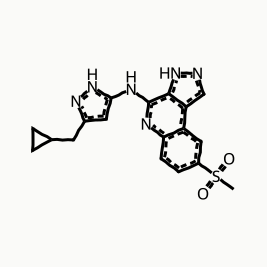 CS(=O)(=O)c1ccc2nc(Nc3cc(CC4CC4)n[nH]3)c3[nH]ncc3c2c1